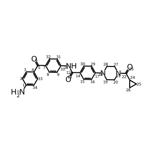 Nc1ccc(C(=O)c2ccc(NC(=O)c3ccc(N4CCN(C(=O)C5CC5)CC4)cc3)cc2)cc1